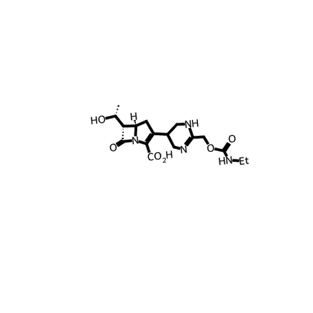 CCNC(=O)OCC1=NCC(C2=C(C(=O)O)N3C(=O)[C@H]([C@@H](C)O)[C@H]3C2)CN1